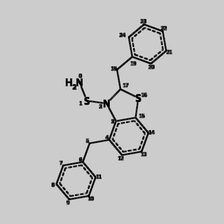 NSN1c2c(Cc3ccccc3)cccc2SC1Cc1ccccc1